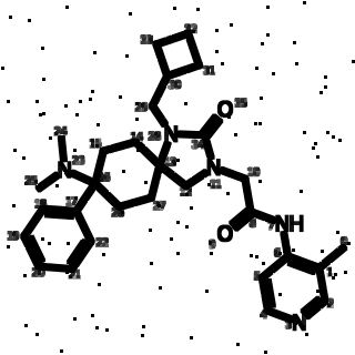 Cc1cnccc1NC(=O)CN1CC2(CCC(c3ccccc3)(N(C)C)CC2)N(CC2CCC2)C1=O